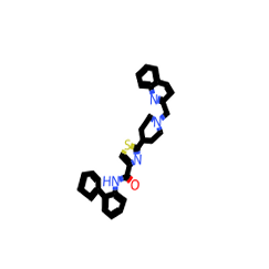 O=C(Nc1ccccc1-c1ccccc1)c1csc(C2CCN(Cc3ccc4ccccc4n3)CC2)n1